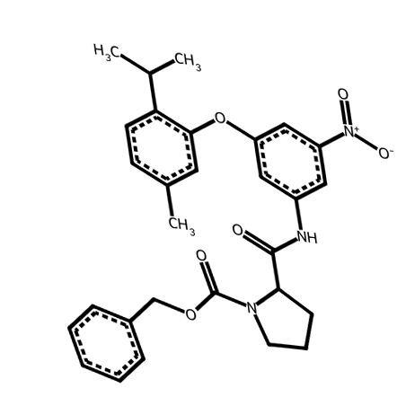 Cc1ccc(C(C)C)c(Oc2cc(NC(=O)C3CCCN3C(=O)OCc3ccccc3)cc([N+](=O)[O-])c2)c1